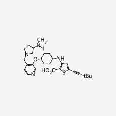 CN(I)C1CCN(Cc2ccncc2O[C@H]2CC[C@H](Nc3cc(C#CC(C)(C)C)sc3C(=O)O)CC2)C1